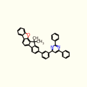 CC1(C)c2cc(-c3cccc(-c4cc(-c5ccccc5)nc(-c5ccccc5)n4)c3)ccc2-c2ccc3c(oc4ccccc43)c21